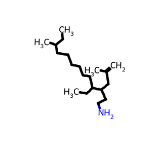 C=C(C)CC(CCN)C(CC)CCCCCCC(C)CC